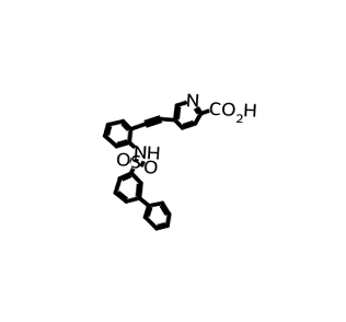 O=C(O)c1ccc(C#Cc2ccccc2NS(=O)(=O)c2cccc(-c3ccccc3)c2)cn1